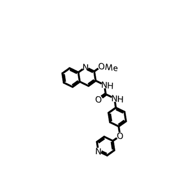 COc1nc2ccccc2cc1NC(=O)Nc1ccc(Oc2ccncc2)cc1